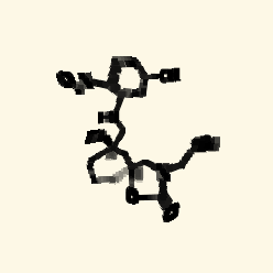 CC[C@]1(CNc2cc(C#N)ccc2[N+](=O)[O-])CCC[C@@]2(CN(CC(C)(C)C)C(=O)O2)C1